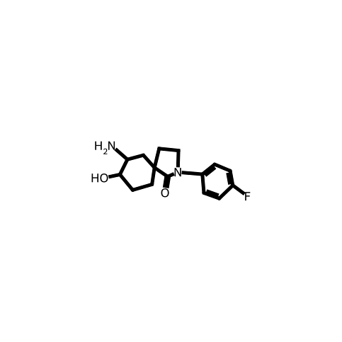 NC1CC2(CCC1O)CCN(c1ccc(F)cc1)C2=O